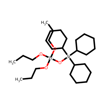 CCC[O][Zr]([O]CCC)([O]CCC)[O][Si](C1CCCCC1)(C1CCCCC1)C1CCCCC1